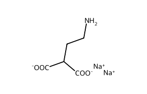 NCCC(C(=O)[O-])C(=O)[O-].[Na+].[Na+]